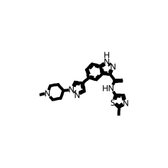 C=C(Nc1cnc(C)s1)c1n[nH]c2ccc(-c3cnn(C4CCN(C)CC4)c3)cc12